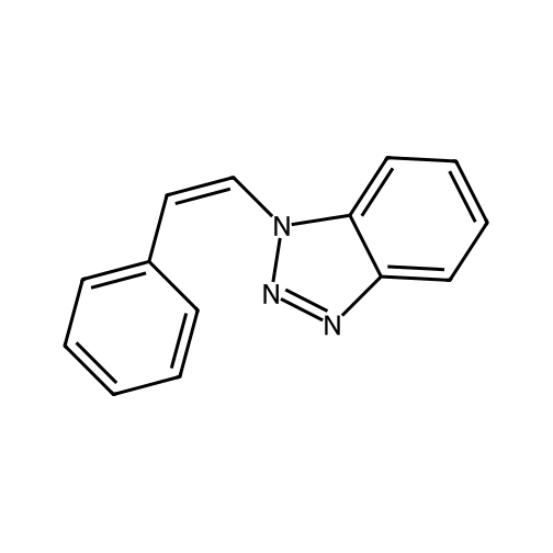 C(=C/n1nnc2ccccc21)/c1ccccc1